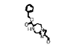 O=Cc1cn2c(n1)CNC(C(=O)OCc1ccccc1)CC2